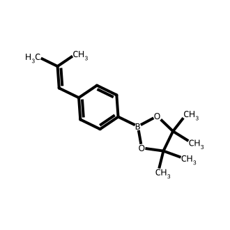 CC(C)=Cc1ccc(B2OC(C)(C)C(C)(C)O2)cc1